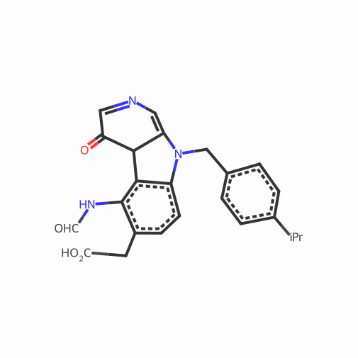 CC(C)c1ccc(CN2C3=CN=CC(=O)C3c3c2ccc(CC(=O)O)c3NC=O)cc1